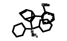 B[PH](C1=C(c2ccccc2OC)C2C=CC1C2)(C1CCCCC1)C1CCCCC1